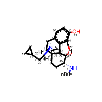 CCCCN[C@@H]1CC[C@@]2(NC(C)=O)[C@H]3Cc4ccc(O)c5c4[C@@]2(CCN3CC2CC2)[C@H]1O5